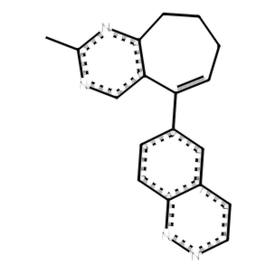 Cc1ncc2c(n1)CCCC=C2c1ccc2nnccc2c1